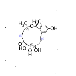 Cc1cc(O)cc2c1C(=O)O[C@@H](C)C/C=C\C(=O)[C@@H](O)[C@@H](O)[C@H](O)C/C=C/2